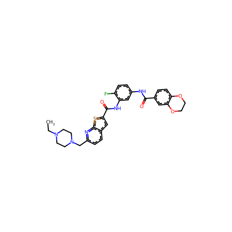 CCN1CCN(Cc2ccc3cc(C(=O)Nc4cc(NC(=O)c5ccc6c(c5)OCCO6)ccc4F)sc3n2)CC1